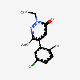 COc1nn(CC=O)c(=O)cc1-c1cc(Cl)ccc1C(C)=O